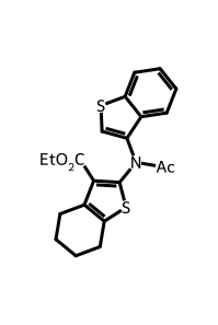 CCOC(=O)c1c(N(C(C)=O)c2csc3ccccc23)sc2c1CCCC2